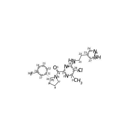 Cc1nc(C(=O)N2CCC[C@@H]2c2cccc(F)c2)nc(NCCc2cn[nH]c2)c1Cl